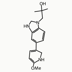 COC1=CC=C(c2ccc3c(c2)NCN3CC(C)(C)O)CN1